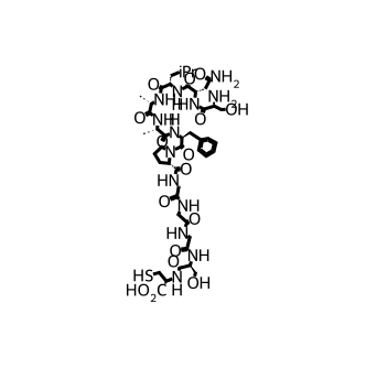 CC(C)C[C@H](NC(=O)[C@H](CC(N)=O)NC(=O)[C@@H](N)CO)C(=O)N[C@@H](C)C(=O)N[C@@H](C)C(=O)N[C@@H](Cc1ccccc1)C(=O)N1CCC[C@H]1C(=O)NCC(=O)NCC(=O)NCC(=O)N[C@@H](CO)C(=O)N[C@@H](CS)C(=O)O